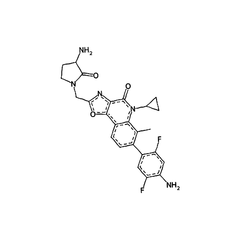 Cc1c(-c2cc(F)c(N)cc2F)ccc2c3oc(CN4CCC(N)C4=O)nc3c(=O)n(C3CC3)c12